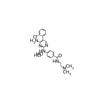 CN(C)CCNC(=O)c1ccc(Nc2ncc(-c3ccccc3Cl)c(N)n2)cc1.Cl.Cl